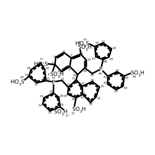 O=S(=O)(O)C1=C2C=CC(S(=O)(=O)O)(S(=O)(=O)O)C=C2C(c2c(CP(c3cccc(S(=O)(=O)O)c3)c3cccc(S(=O)(=O)O)c3)cc(S(=O)(=O)O)c3ccccc23)C(CP(c2cccc(S(=O)(=O)O)c2)c2cccc(S(=O)(=O)O)c2)=C1